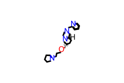 c1ccc(CN2CCN3C[C@@H](COCCCN4CCCCC4)CC[C@H]3C2)nc1